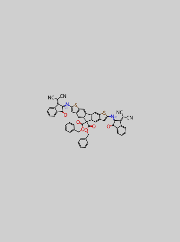 N#CC(C#N)=C1/C(=N/c2cc3cc4c(cc3s2)-c2cc3sc(/N=C5\C(=O)c6ccccc6C5=C(C#N)C#N)cc3cc2C4(C(=O)OCc2ccccc2)C(=O)OCc2ccccc2)C(=O)c2ccccc21